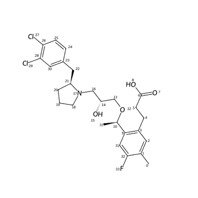 Cc1cc(CCC(=O)O)c([C@@H](C)OC[C@H](O)CN2CCC[C@H]2Cc2ccc(Cl)c(Cl)c2)cc1F